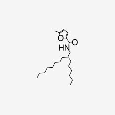 CCCCCCCCC(CCCCCC)CNC(=O)c1ccc(C)o1